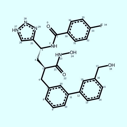 O=C(N[C@H](C[C@H](Cc1cccc(-c2cccc(CO)c2)c1)C(=O)NO)c1c[nH]nn1)c1ccc(F)cc1